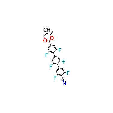 CC1COC(c2cc(F)c(-c3cc(F)c(-c4cc(F)c(C#N)c(F)c4)c(F)c3)c(F)c2)OC1